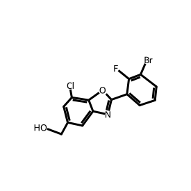 OCc1cc(Cl)c2oc(-c3cccc(Br)c3F)nc2c1